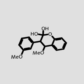 COc1cccc(C2C(OC)c3ccccc3OC2(O)O)c1